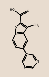 Cc1c(C(=O)O)sc2ccc(-c3cncnc3)cc12